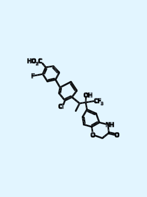 CC(c1ccc(-c2ccc(C(=O)O)c(F)c2)cc1Cl)C(O)(c1ccc2c(c1)NC(=O)CO2)C(F)(F)F